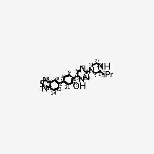 CC(C)C1CN(c2ncc(-c3ccc(-c4ccc5nsnc5c4)cc3O)nn2)CCN1